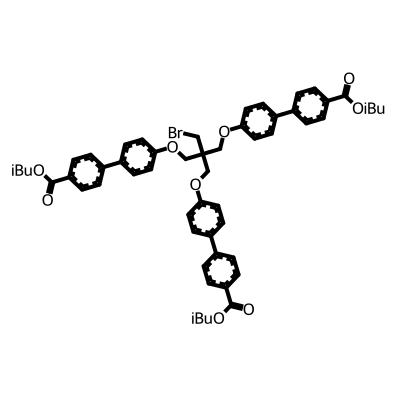 CC(C)COC(=O)c1ccc(-c2ccc(OCC(CBr)(COc3ccc(-c4ccc(C(=O)OCC(C)C)cc4)cc3)COc3ccc(-c4ccc(C(=O)OCC(C)C)cc4)cc3)cc2)cc1